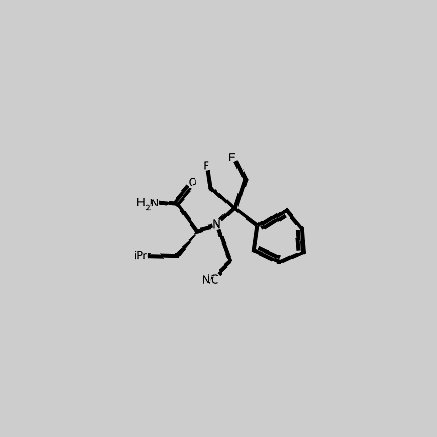 CC(C)C[C@@H](C(N)=O)N(CC#N)C(CF)(CF)c1ccccc1